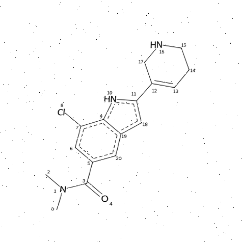 CN(C)C(=O)c1cc(Cl)c2[nH]c(C3=CCCNC3)cc2c1